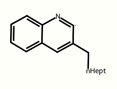 CCCCCCCCc1[c]nc2ccccc2c1